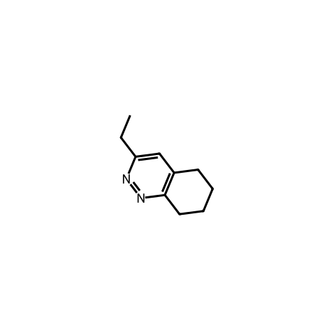 CCc1cc2c(nn1)CCCC2